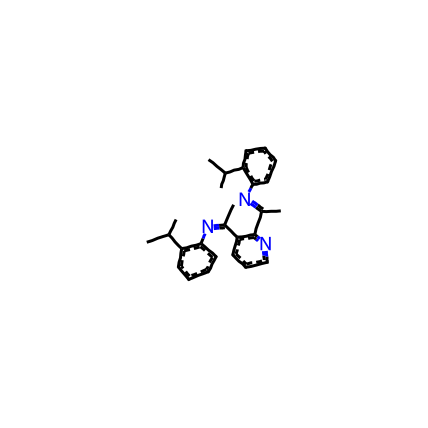 CC(=Nc1ccccc1C(C)C)c1cccnc1C(C)=Nc1ccccc1C(C)C